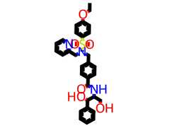 CCOc1ccc(S(=O)(=O)N(Cc2ccc(C(=O)NC(CO)C(O)c3ccccc3)cc2)Cc2ccccn2)cc1